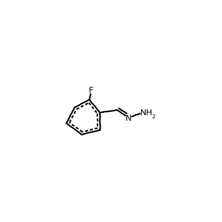 NN=Cc1ccccc1F